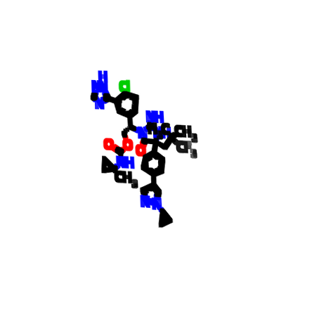 CC1(NC(=O)OC[C@H](c2ccc(Cl)c(-c3ncn[nH]3)c2)N2C(=N)N[C@](CC(C)(C)C(F)(F)F)(c3ccc(-c4cnn(C5CC5)c4)cc3)C2=O)CC1